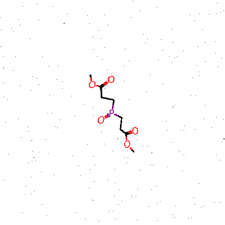 COC(=O)CC[P](=O)CCC(=O)OC